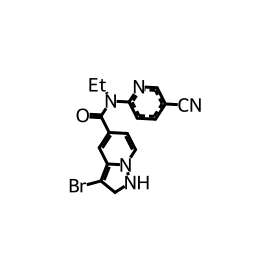 CCN(C(=O)C1=CC2=C(Br)CNN2C=C1)c1ccc(C#N)cn1